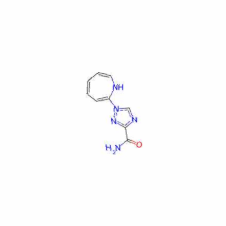 NC(=O)c1ncn(C2=CC=CC=CN2)n1